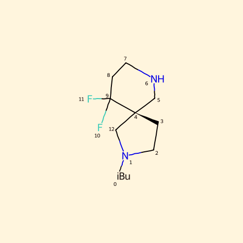 CCC(C)N1CC[C@@]2(CNCCC2(F)F)C1